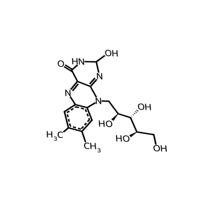 Cc1cc2c(cc1C)N(C[C@H](O)[C@H](O)[C@H](O)CO)C1=NC(O)NC(=O)C1=N2